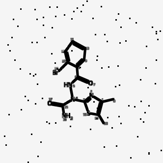 Cc1nc(N(NC(=O)c2ccccc2Br)C(N)=O)sc1C